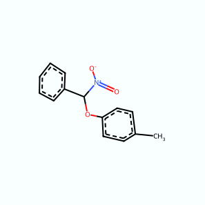 Cc1ccc(OC(c2ccccc2)[N+](=O)[O-])cc1